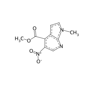 COC(=O)c1c([N+](=O)[O-])cnc2c1ccn2C